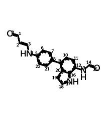 O=CC=CNc1ccc(-c2ccc(NC=O)c3[nH]ccc23)cc1